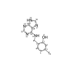 Oc1cc(I)ccc1CNc1ncnc2[nH]cnc12